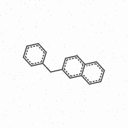 [c]1cc(Cc2ccccc2)cc2ccccc12